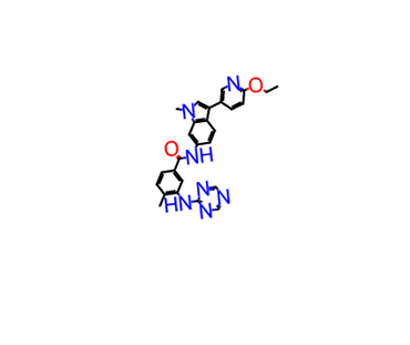 CCOc1ccc(-c2cn(C)c3cc(NC(=O)c4ccc(C)c(Nc5ncncn5)c4)ccc23)cn1